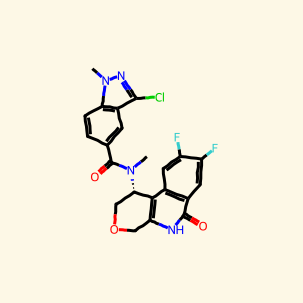 CN(C(=O)c1ccc2c(c1)c(Cl)nn2C)[C@H]1COCc2[nH]c(=O)c3cc(F)c(F)cc3c21